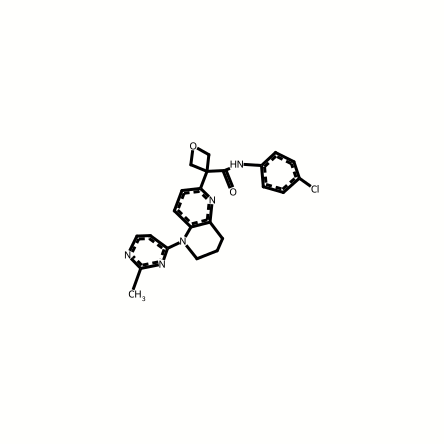 Cc1nccc(N2CCCc3nc(C4(C(=O)Nc5ccc(Cl)cc5)COC4)ccc32)n1